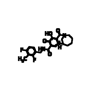 Cc1c(F)ccc(CNC(=O)c2cn3c(c(O)c2=O)C(=O)N2CCCC[C@@H]3C2)c1F